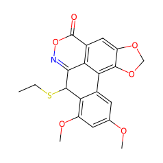 CCSC1c2c(OC)cc(OC)cc2-c2c3c(cc4c(=O)onc1c24)OCO3